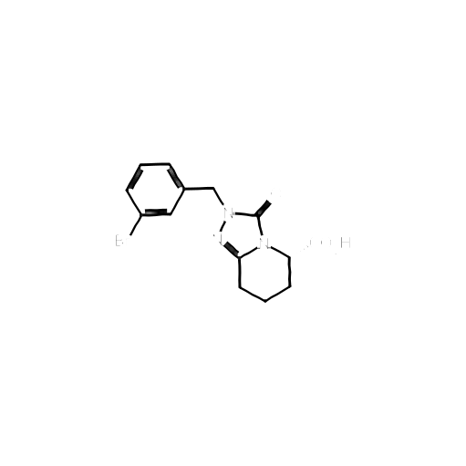 O=C(O)[C@@H]1CCCc2nn(Cc3cccc(Br)c3)c(=O)n21